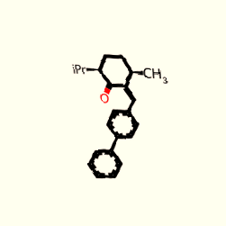 CC(C)[C@H]1CC[C@@H](C)C(=Cc2ccc(-c3ccccc3)cc2)C1=O